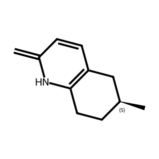 C=C1C=CC2=C(CC[C@H](C)C2)N1